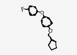 Fc1ccc(Oc2ccc(OCC3CCCC3)cc2)cc1